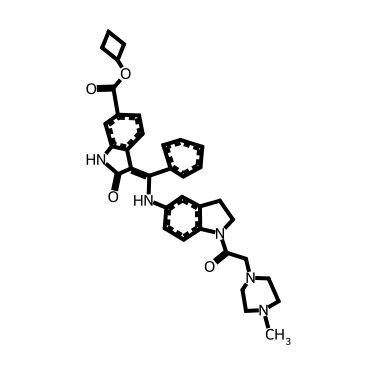 CN1CCN(CC(=O)N2CCc3cc(N/C(=C4\C(=O)Nc5cc(C(=O)OC6CCC6)ccc54)c4ccccc4)ccc32)CC1